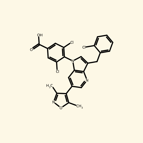 Cc1noc(C)c1-c1cnc2c(Cc3ccccc3Cl)cn(-c3c(Cl)cc(C(=O)O)cc3Cl)c2c1